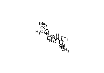 Cc1cc2nn(C)nc2cc1NC(=O)N1CCc2c(N3CCN(C(=O)OC(C)(C)C)[C@@H](C)C3)ccnc21